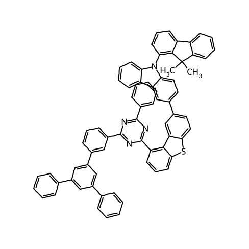 CC1(C)c2ccccc2-c2cccc(-n3c4ccccc4c4cc(-c5ccc6sc7cccc(-c8nc(-c9ccccc9)nc(-c9cccc(-c%10cc(-c%11ccccc%11)cc(-c%11ccccc%11)c%10)c9)n8)c7c6c5)ccc43)c21